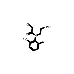 COCCN(C(=O)CCl)c1c(C)cccc1C(F)(F)F